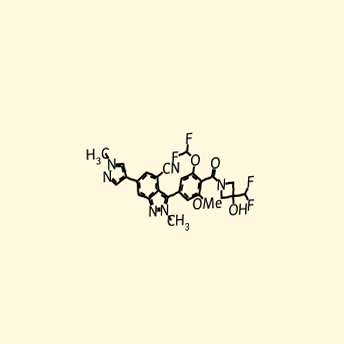 COc1cc(-c2c3c(C#N)cc(-c4cnn(C)c4)cc3nn2C)cc(OC(F)F)c1C(=O)N1CC(O)(C(F)F)C1